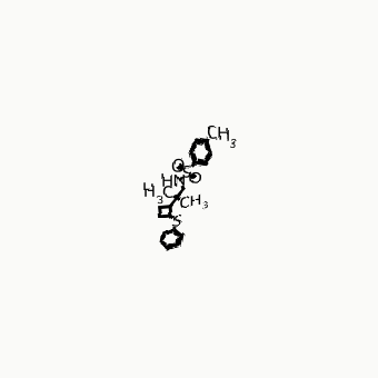 Cc1ccc(S(=O)(=O)NCC(C)(C)C2CCC2Sc2ccccc2)cc1